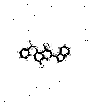 CCc1ccc(O[C@H](CC)c2ccccc2)c2c(C(=O)O)cc(-c3csc4ccccc34)nc12